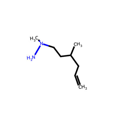 C=CCC(C)CCN(C)N